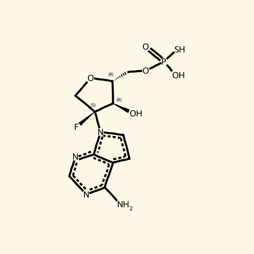 Nc1ncnc2c1ccn2[C@]1(F)CO[C@H](COP(=O)(O)S)[C@H]1O